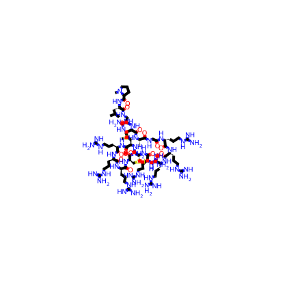 CSCC(NC(=O)CNC(=O)[C@H](CC(C)C)NC(=O)C1CCCN1C)C(=O)N[C@@H](C)C(=O)NCC(=O)N[C@H](CCCNC(=N)N)C(=O)N[C@H](CCCNC(=N)N)C(=O)N[C@H](CCCNC(=N)N)C(=O)N[C@H](CCCNC(=N)N)C(=O)N[C@H](CCCNC(=N)N)C(=O)N[C@H](CCCNC(=N)N)C(=O)N[C@H](CCCNC(=N)N)C(=O)N[C@H](CCCNC(=N)N)C(=O)N[C@H](CCCNC(=N)N)C(=O)N[C@H](CS)C(N)=O